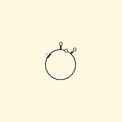 O=C1C/C=C\CCCCCCCCCCCC(=O)O1